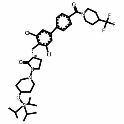 CC(C)[Si](OC1CCN(N2CC[C@@H](Cc3c(Cl)cc(-c4ccc(C(=O)N5CCC(C(F)(F)F)CC5)cc4)cc3Cl)C2=O)CC1)(C(C)C)C(C)C